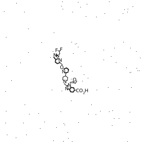 O=C(O)c1ccc2nc(CN3CCC(c4cccc(OCc5ccc6cnn(CC(F)F)c6n5)n4)CC3)n(C[C@@H]3CCO3)c2c1